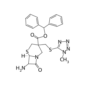 Cn1nnnc1SCC1(C(=O)OC(c2ccccc2)c2ccccc2)CS[C@@H]2C(N)C(=O)N2C1